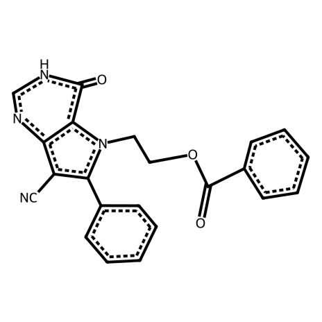 N#Cc1c(-c2ccccc2)n(CCOC(=O)c2ccccc2)c2c(=O)[nH]cnc12